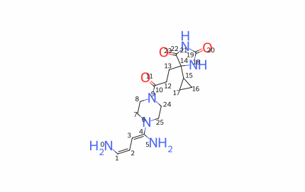 N/C=C\C=C(/N)N1CCN(C(=O)CCC2(C3CC3)NC(=O)NC2=O)CC1